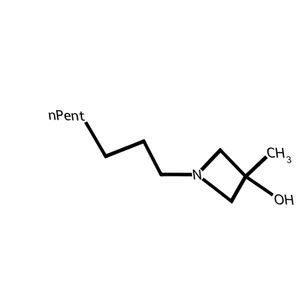 CCCCCCCCN1CC(C)(O)C1